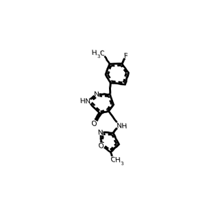 Cc1cc(Nc2cc(-c3ccc(F)c(C)c3)n[nH]c2=O)no1